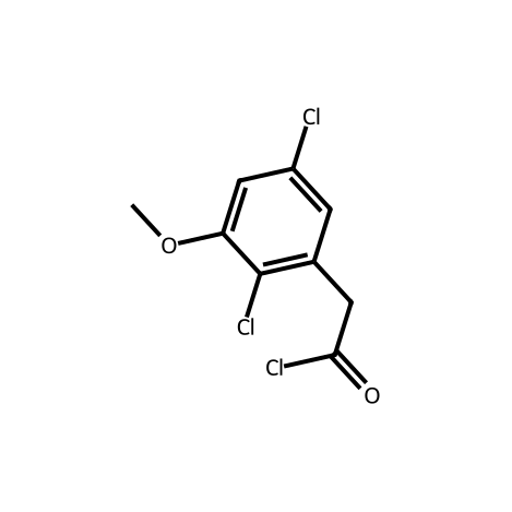 COc1cc(Cl)cc(CC(=O)Cl)c1Cl